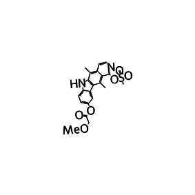 COCC(=O)Oc1ccc2[nH]c3c(C)c4ccnc(OS(C)(=O)=O)c4c(C)c3c2c1